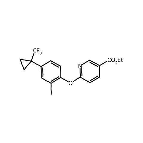 CCOC(=O)c1ccc(Oc2ccc(C3(C(F)(F)F)CC3)cc2C)nc1